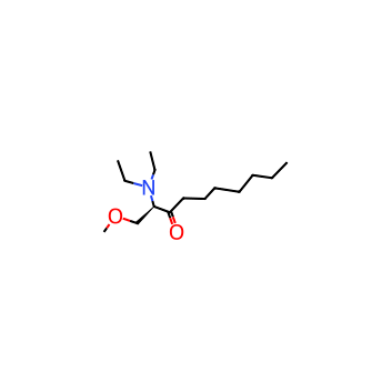 CCCCCCCC(=O)[C@@H](COC)N(CC)CC